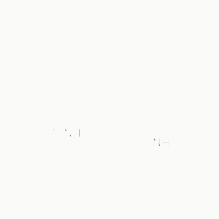 CC(=O)NC1CCCC2CNCC21